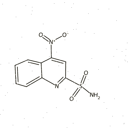 NS(=O)(=O)c1cc([N+](=O)[O-])c2ccccc2n1